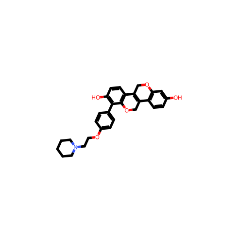 Oc1ccc2c(c1)OCC1=C2COc2c1ccc(O)c2-c1ccc(OCCN2CCCCC2)cc1